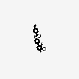 C=CC1CCC(C(=O)OC2CC=C(c3ccc(C)c(Cl)c3F)CC2)CC1